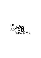 COc1cc2c(cc1OC)C(N(CC(=O)O)C(=O)CCSC(C)=O)CC2